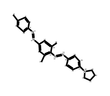 Cc1ccc(/N=N/c2cc(C)c(/N=N/c3ccc(N4CCCC4)cc3)c(C)c2)cc1